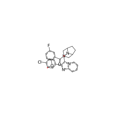 COc1ccc(F)cc1C(=O)N1CC2CCC(C1)N2Cc1c(-c2ccc(Cl)cc2)nc2ccccn12